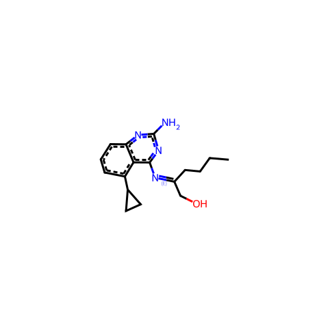 CCCC/C(CO)=N\c1nc(N)nc2cccc(C3CC3)c12